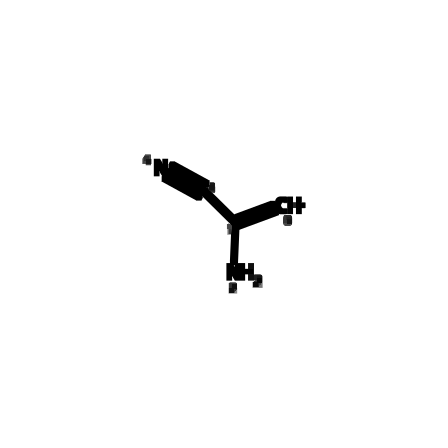 [CH]=C(N)C#N